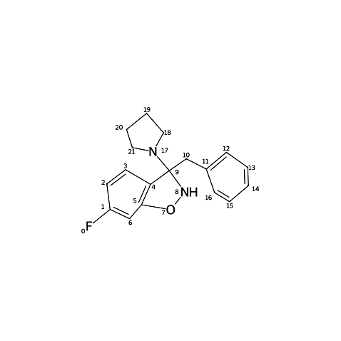 Fc1ccc2c(c1)ONC2(Cc1ccccc1)N1CCCC1